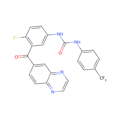 O=C(Nc1ccc(C(F)(F)F)cc1)Nc1ccc(F)c(C(=O)c2ccc3nccnc3c2)c1